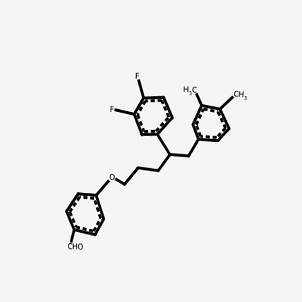 Cc1ccc(CC(CCCOc2ccc(C=O)cc2)c2ccc(F)c(F)c2)cc1C